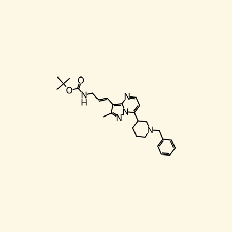 Cc1nn2c(C3CCCN(Cc4ccccc4)C3)ccnc2c1C=CCNC(=O)OC(C)(C)C